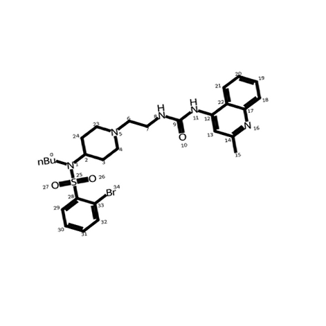 CCCCN(C1CCN(CCNC(=O)Nc2cc(C)nc3ccccc23)CC1)S(=O)(=O)c1ccccc1Br